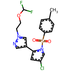 Cc1ccc(S(=O)(=O)n2cc(Cl)cc2-c2cnn(CCOC(F)F)c2)cc1